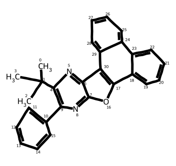 CC(C)(C)c1nc2c(nc1-c1ccccc1)oc1c3ccccc3c3ccccc3c21